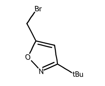 CC(C)(C)c1cc(CBr)on1